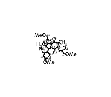 COCC(=O)S[C@@]1(C)C(=O)N2C(c3ccc(OC)nc3)[C@@](C)(C#N)C[C@]2(SC(=O)COC)C(=O)N1C